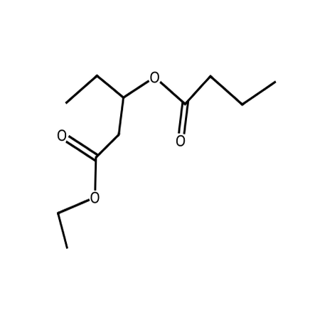 CCCC(=O)OC(CC)CC(=O)OCC